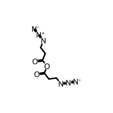 [N-]=[N+]=NCCC(=O)OC(=O)CCN=[N+]=[N-]